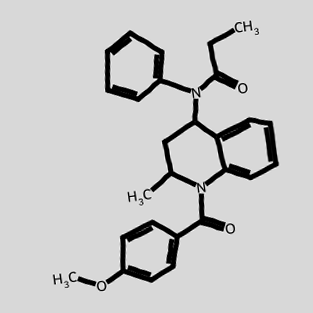 CCC(=O)N(c1ccccc1)C1CC(C)N(C(=O)c2ccc(OC)cc2)c2ccccc21